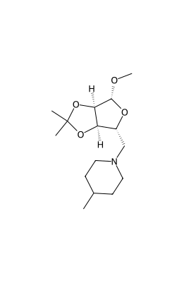 CO[C@@H]1O[C@H](CN2CCC(C)CC2)[C@H]2OC(C)(C)O[C@@H]12